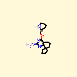 Nc1nc(OC[C@H]2CCCCN2)c2c(n1)C1(CCCC1)CCC2